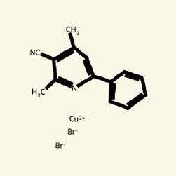 Cc1cc(-c2ccccc2)nc(C)c1C#N.[Br-].[Br-].[Cu+2]